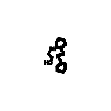 OCCO.c1ccc(N=Nc2ccccc2)cc1